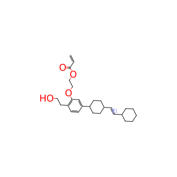 C=CC(=O)OCCOc1cc(C2CCC(/C=C/C3CCCCC3)CC2)ccc1CCO